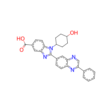 O=C(O)c1ccc2c(c1)nc(-c1ccc3nc(-c4ccccc4)cnc3c1)n2C1CCC(O)CC1